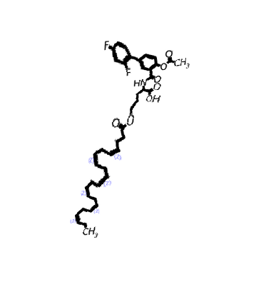 CC/C=C\C/C=C\C/C=C\C/C=C\C/C=C\C/C=C\CCC(=O)OCCCC(NC(=O)c1cc(-c2ccc(F)cc2F)ccc1OC(C)=O)C(=O)O